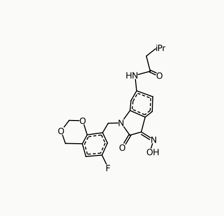 CC(C)CC(=O)Nc1ccc2c(c1)N(Cc1cc(F)cc3c1OCOC3)C(=O)/C2=N\O